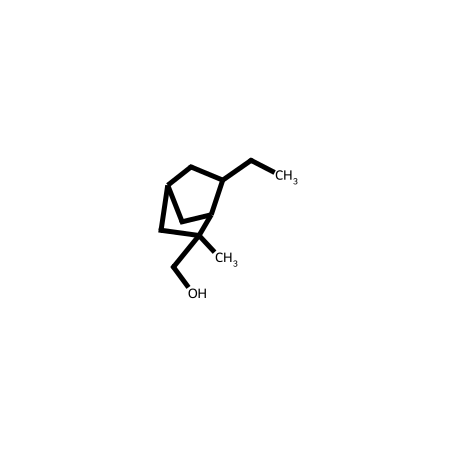 CCC1CC2CC1C(C)(CO)C2